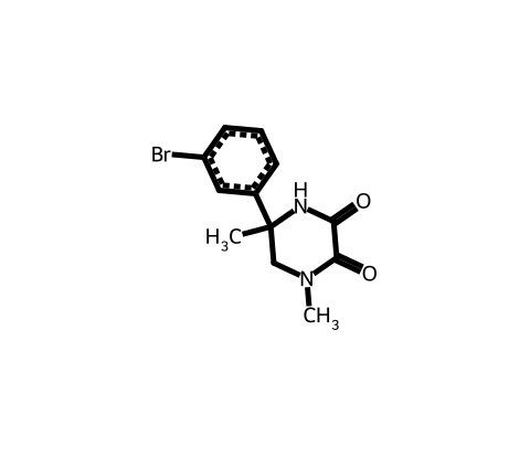 CN1CC(C)(c2cccc(Br)c2)NC(=O)C1=O